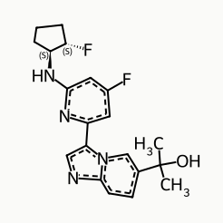 CC(C)(O)c1ccc2ncc(-c3cc(F)cc(N[C@H]4CCC[C@@H]4F)n3)n2c1